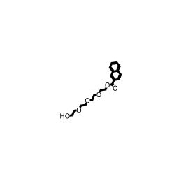 O=C(OCCOCCOCCOCCO)c1ccc2ccccc2c1